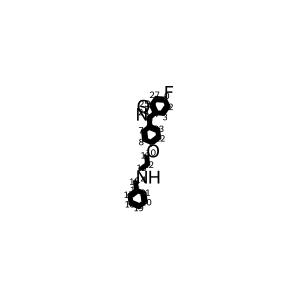 Fc1ccc2c(-c3ccc(OCCCNCc4ccccc4)cc3)noc2c1